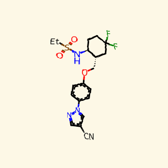 CCS(=O)(=O)N[C@H]1CCC(F)(F)C[C@@H]1COc1ccc(-n2cc(C#N)cn2)cc1